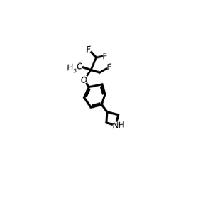 CC(CF)(Oc1ccc(C2CNC2)cc1)C(F)F